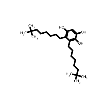 CC(C)(C)CCCCCCc1c(O)cc(O)c(O)c1CCCCCCC(C)(C)C